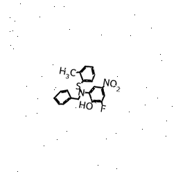 Cc1ccccc1SN(Cc1ccccc1)c1cc([N+](=O)[O-])cc(F)c1O